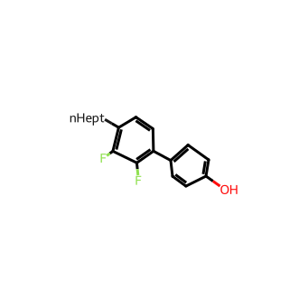 CCCCCCCc1ccc(-c2ccc(O)cc2)c(F)c1F